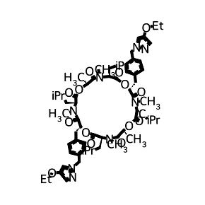 CCOc1cnn(Cc2ccc(C[C@H]3OC(=O)[C@H](CC(C)C)N(C)C(=O)[C@@H](C)OC(=O)[C@H](CC(C)C)N(C)C(=O)[C@@H](Cc4ccc(Cn5cc(OCC)cn5)cc4)OC(=O)[C@H](CC(C)C)N(C)C(=O)[C@@H](C)OC(=O)[C@H](CC(C)C)N(C)C3=O)cc2)c1